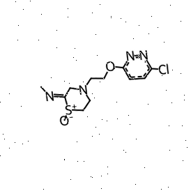 CN=C1CN(CCOc2ccc(Cl)nn2)CC[S+]1[O-]